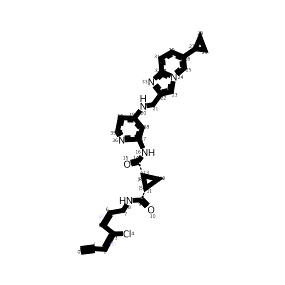 C#C/C=C(Cl)\C=C/CNC(=O)[C@H]1C[C@H]1C(=O)Nc1cc(NCc2cn3cc(C4CC4)ccc3n2)ccn1